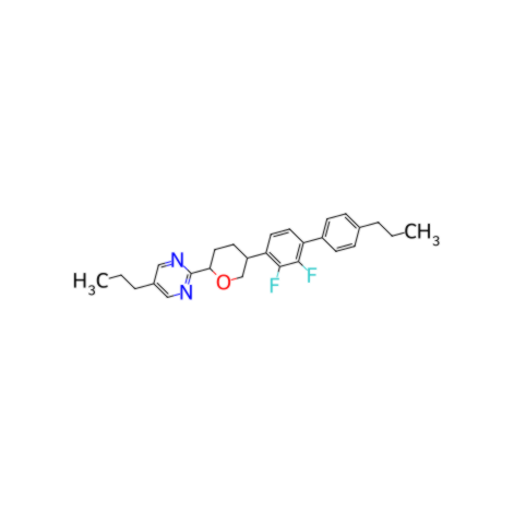 CCCc1ccc(-c2ccc(C3CCC(c4ncc(CCC)cn4)OC3)c(F)c2F)cc1